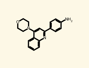 Nc1ccc(-c2cc(N3CCOCC3)c3ccccc3n2)cc1